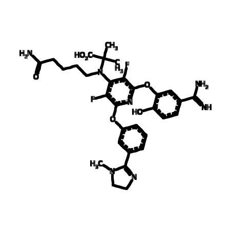 CN1CCN=C1c1cccc(Oc2nc(Oc3cc(C(=N)N)ccc3O)c(F)c(N(CCCCC(N)=O)C(C)(C)C(=O)O)c2F)c1